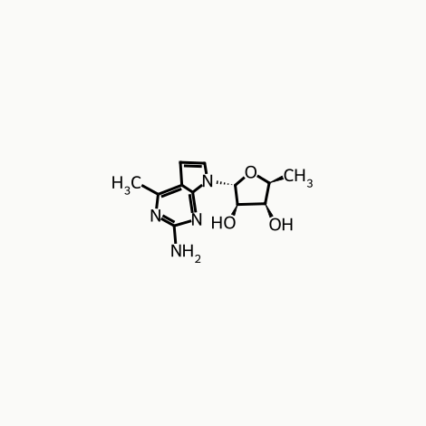 Cc1nc(N)nc2c1ccn2[C@@H]1O[C@@H](C)[C@@H](O)[C@H]1O